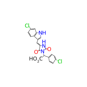 O=C(O)C(c1ccc(Cl)cc1)N1C(=O)N/C(=C\c2c[nH]c3cc(Cl)ccc23)C1=O